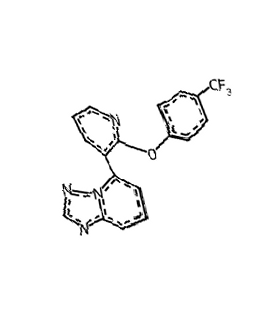 FC(F)(F)c1ccc(Oc2ncccc2-c2cccc3ncnn23)cc1